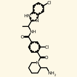 CC(NC(=O)c1ccc(C(=O)N2CCCCC2CN)c(Cl)c1)c1nc2cc(Cl)ccc2[nH]1